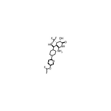 N=C(C1=C(N)NC(=O)[C@@H](O)[C@H]1C(F)(F)F)C1CCN(c2ccc(OC(F)F)cn2)CC1